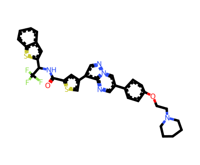 O=C(NC(c1cc2ccccc2s1)C(F)(F)F)c1cc(-c2cnn3cc(-c4ccc(OCCN5CCCCC5)cc4)cnc23)cs1